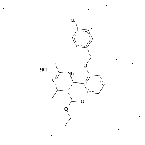 CCOC(=O)C1=C(C)N=C(C)NC1c1ccccc1OCc1ccc(Cl)cc1.Cl